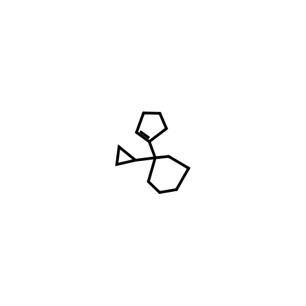 C1=C(C2(C3CC3)CCCCC2)CCC1